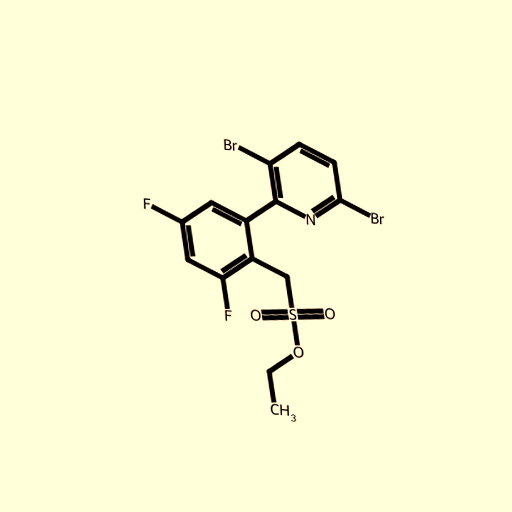 CCOS(=O)(=O)Cc1c(F)cc(F)cc1-c1nc(Br)ccc1Br